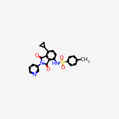 Cc1ccc(S(=O)(=O)Nc2ccc(C3CC3)c3c2C(=O)N(c2cccnc2)C3=O)cc1